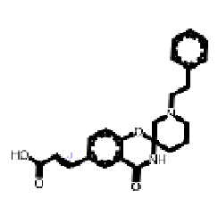 O=C(O)/C=C/c1ccc2c(c1)C(=O)NC1(CCCN(CCc3ccccc3)C1)O2